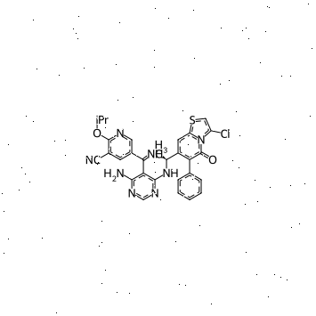 CC(C)Oc1ncc(C(=N)c2c(N)ncnc2N[C@@H](C)c2cc3scc(Cl)n3c(=O)c2-c2ccccc2)cc1C#N